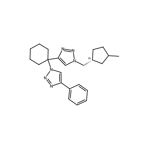 CC1CC[C@@H](Cn2cc(C3(n4cc(-c5ccccc5)nn4)CCCCC3)nn2)C1